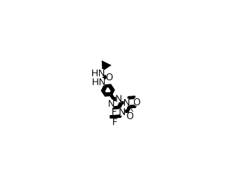 CC(F)(F)CN1C(=O)[C@]2(C)COCCN2c2nc(-c3ccc(NC(=O)NC4CC4)cc3)ncc21